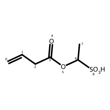 C=CCC(=O)OC(C)S(=O)(=O)O